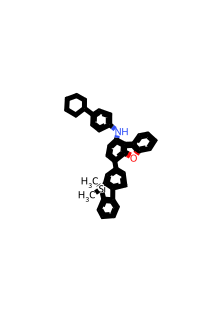 C[Si]1(C)c2ccccc2-c2ccc(-c3ccc(Nc4ccc(C5CCCCC5)cc4)c4c3oc3ccccc34)cc21